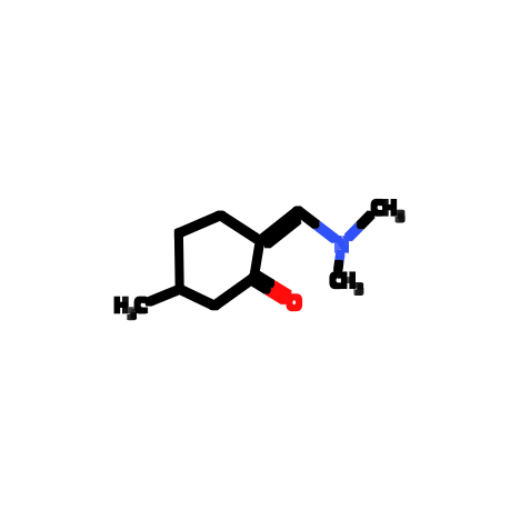 CC1CC/C(=C/N(C)C)C(=O)C1